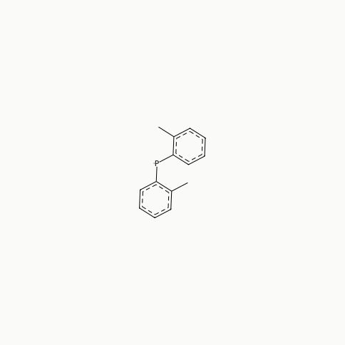 Cc1ccccc1[P]c1ccccc1C